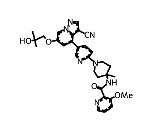 COc1cccnc1C(=O)NC1(C)CCN(c2ccc(-c3cc(OCC(C)(C)O)cn4ncc(C#N)c34)cn2)CC1